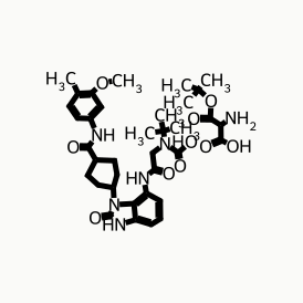 CC(C)(C)OC(=O)C(N)C(=O)O.COc1cc(NC(=O)C2CCC(n3c(=O)[nH]c4cccc(NC(=O)CN(C(=O)O)C(C)(C)C)c43)CC2)ccc1C